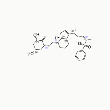 C=C1/C(=C\C=C2/CCC[C@]3(C)C([C@H](C)C/C=C(/C)S(=O)(=O)c4ccccc4)=CC[C@@H]23)C[C@H](O)C[C@H]1O